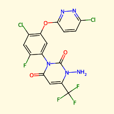 Nn1c(C(F)(F)F)cc(=O)n(-c2cc(Oc3ccc(Cl)nn3)c(Cl)cc2F)c1=O